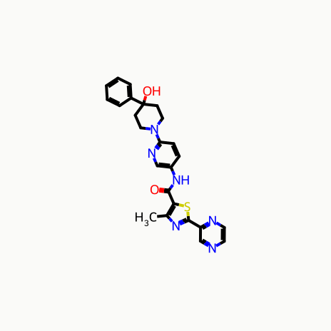 Cc1nc(-c2cnccn2)sc1C(=O)Nc1ccc(N2CCC(O)(c3ccccc3)CC2)nc1